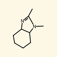 CC1=NC2CCCCC2N1C